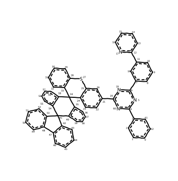 c1ccc(-c2nc(-c3cccc(-c4ccccn4)c3)nc(-c3ccc4c(c3)Sc3ccccc3C43c4ccccc4C4(c5ccccc5-c5ccccc54)c4ccccc43)n2)cc1